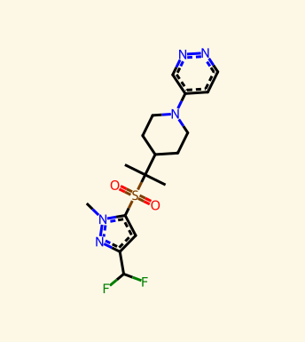 Cn1nc(C(F)F)cc1S(=O)(=O)C(C)(C)C1CCN(c2ccnnc2)CC1